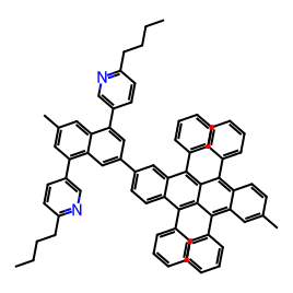 CCCCc1ccc(-c2cc(-c3ccc4c(-c5ccccc5)c5c(-c6ccccc6)c6cc(C)ccc6c(-c6ccccc6)c5c(-c5ccccc5)c4c3)cc3c(-c4ccc(CCCC)nc4)cc(C)cc23)cn1